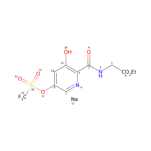 CCOC(=O)CNC(=O)c1ncc(OS(=O)(=O)C(F)(F)F)cc1O.[Na]